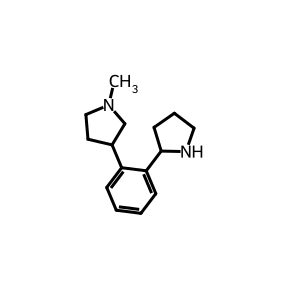 CN1CCC(c2ccccc2C2CCCN2)C1